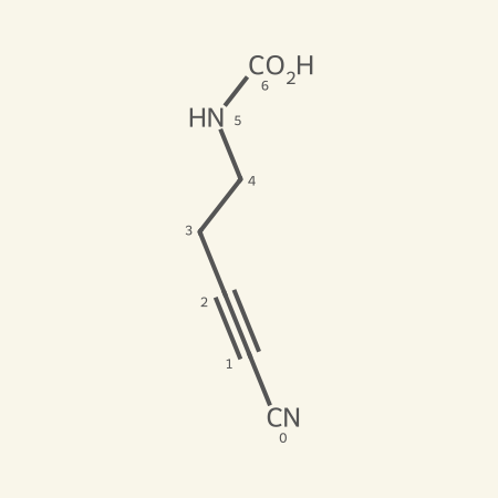 N#CC#CCCNC(=O)O